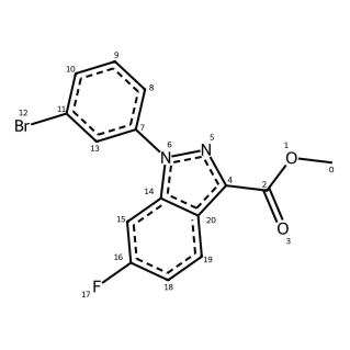 COC(=O)c1nn(-c2cccc(Br)c2)c2cc(F)ccc12